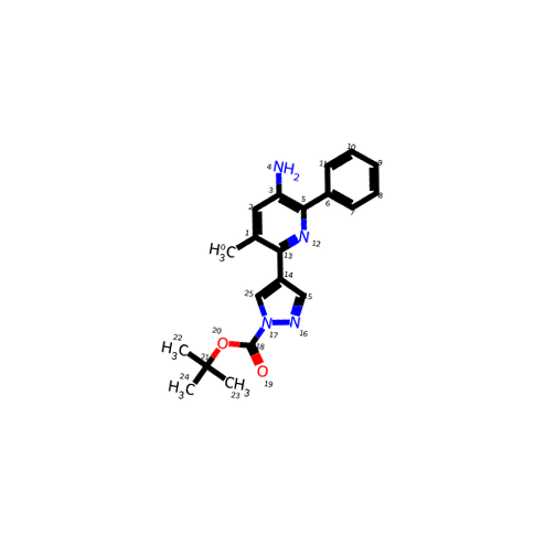 Cc1cc(N)c(-c2ccccc2)nc1-c1cnn(C(=O)OC(C)(C)C)c1